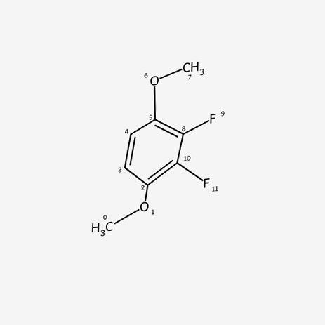 COc1ccc(OC)c(F)c1F